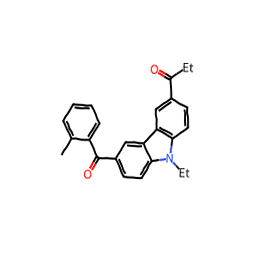 CCC(=O)c1ccc2c(c1)c1cc(C(=O)c3ccccc3C)ccc1n2CC